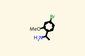 COc1cc(Br)ccc1C(C)N